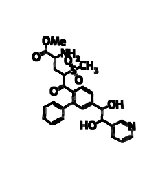 COC(=O)C(N)CC(C(=O)c1ccc(C(O)C(O)c2cccnc2)cc1-c1ccccc1)S(C)(=O)=O